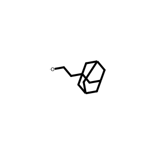 [O]CCC12CC3CC(CC(C3)C1)C2